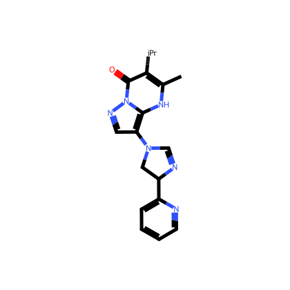 Cc1[nH]c2c(N3C=NC(c4ccccn4)C3)cnn2c(=O)c1C(C)C